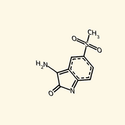 CS(=O)(=O)c1ccc2c(c1)=C(N)C(=O)N=2